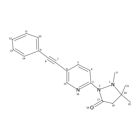 CN1N(c2ccc(C#Cc3ccccc3)cn2)C(=O)CC1(C)C